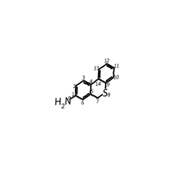 Nc1ccc2c(c1)CSc1ccccc1-2